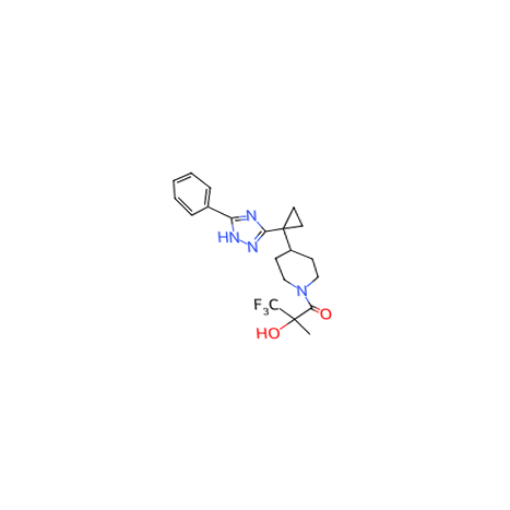 CC(O)(C(=O)N1CCC(C2(c3n[nH]c(-c4ccccc4)n3)CC2)CC1)C(F)(F)F